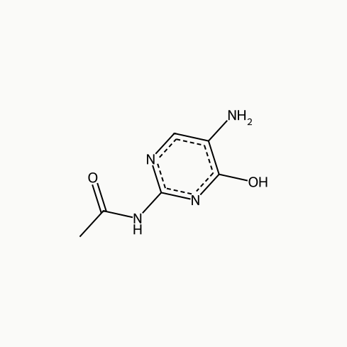 CC(=O)Nc1ncc(N)c(O)n1